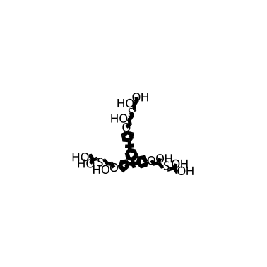 CC(C)(c1ccc(OCC(O)CSCC(O)CO)cc1)c1ccc(C(C)(c2ccc(OCC(O)CSCC(O)CO)cc2)c2ccc(OCC(O)CSCC(O)CO)cc2)cc1